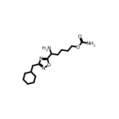 NC(=O)OCCCCC(N)c1nc(CC2CCCCC2)no1